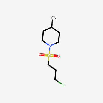 N#CC1CCN(S(=O)(=O)CCCCl)CC1